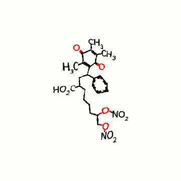 CC1=C(C)C(=O)C(C(CC(CCCCC(CO[N+](=O)[O-])O[N+](=O)[O-])C(=O)O)c2ccccc2)=C(C)C1=O